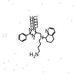 Cl.Cl.Cl.Cl.Cn1c(CN(CCCCN)C2CCCc3cccnc32)nnc1-c1ccccc1